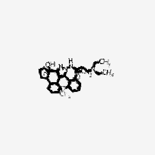 CCN(CC)CCC(=O)Nn1nc(C(=O)O)c(-c2ccccc2C2CCCC2)c1-c1c(OC)cccc1OC